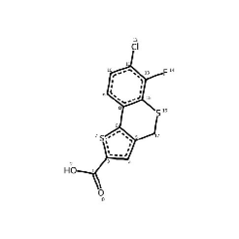 O=C(O)c1cc2c(s1)-c1ccc(Cl)c(F)c1SC2